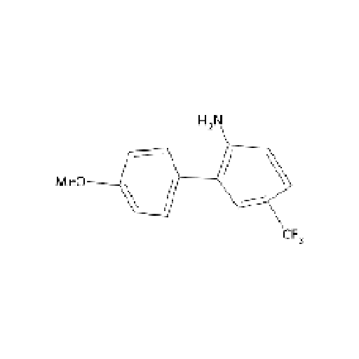 COc1ccc(-c2cc(C(F)(F)F)ccc2N)cc1